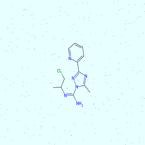 Cc1nc(-c2ccccn2)nn1/C(N)=N\C(C)CCl